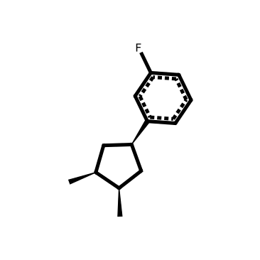 C[C@@H]1C[C@H](c2cccc(F)c2)C[C@@H]1C